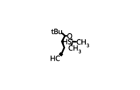 C#CCCC(O[SiH](C)C)C(C)(C)C